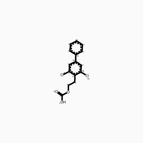 O=C(O)OCCc1c(Cl)cc(-c2ccccc2)cc1Cl